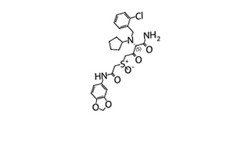 NC(=O)[C@H](C(=O)C[S+]([O-])CC(=O)Nc1ccc2c(c1)OCO2)N(Cc1ccccc1Cl)C1CCCC1